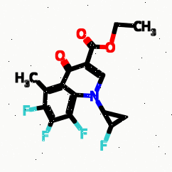 CCOC(=O)c1cn(C2CC2F)c2c(F)c(F)c(F)c(C)c2c1=O